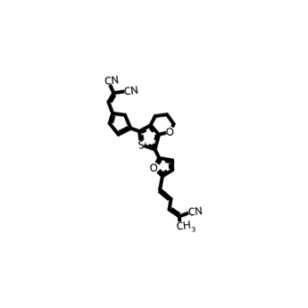 C/C(C#N)=C/C=C/c1ccc(-c2sc(C3=CC=C(C=C(C#N)C#N)C3)c3c2OCCC3)o1